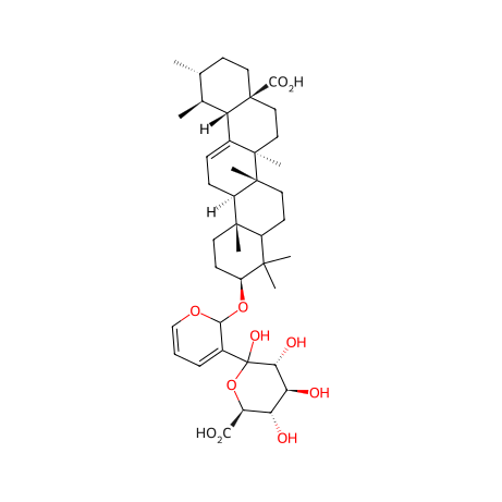 C[C@H]1[C@H](C)CC[C@]2(C(=O)O)CC[C@]3(C)C(=CC[C@@H]4[C@@]5(C)CC[C@H](OC6OC=CC=C6C6(O)O[C@H](C(=O)O)[C@@H](O)[C@H](O)[C@H]6O)C(C)(C)C5CC[C@]43C)[C@H]12